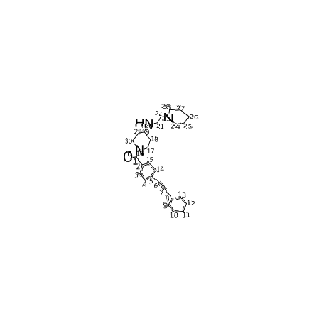 O=C(c1ccc(C#Cc2ccccc2)cc1)N1CCC(NCCN2CCCCC2)CC1